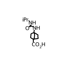 CC(C)NC(=O)NC12CCC(C(=O)O)(CC1)CC2